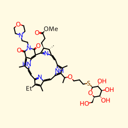 CCC1=C(C)c2cc3[nH]c(cc4nc(c5c6[nH]c(cc1n2)c(C)c6C(=O)N(CCN1CCOCC1)C5=O)[C@@H](CCC(=O)OC)[C@@H]4C)c(C)c3C(C)OCCCS[C@@H]1O[C@H](CO)[C@@H](O)[C@H](O)[C@H]1O